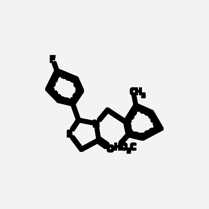 Cc1cccc(C(=O)O)c1CN1C(=O)CSC1c1ccc(F)cc1